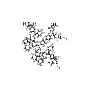 Cc1ccc(N(c2ccc(C)cc2)c2ccc(-c3ccc(N(c4ccc(C5(c6ccc(N(c7ccccc7)c7ccc(C(C)(C)C)cc7)cc6)c6ccccc6-c6ccccc65)cc4)c4ccc(C5(c6ccc(N(c7ccccc7)c7ccc(C(C)(C)C)cc7)cc6)c6ccccc6-c6ccccc65)cc4)cc3)cc2)cc1